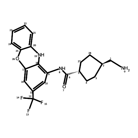 NC[C@H]1CC[C@H](C(=O)Nc2cc(C(F)(F)F)cc3c2Nc2ccccc2O3)CC1